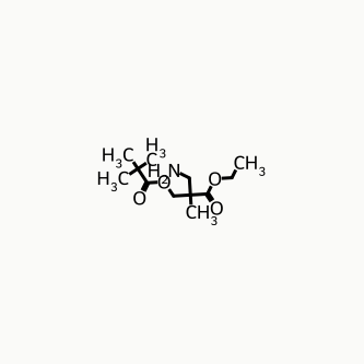 CCOC(=O)C(C)(CN)COC(=O)C(C)(C)C